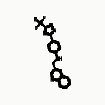 FC(F)(F)c1nc(-c2ccc(NCc3cnc4ccccc4c3)cc2)no1